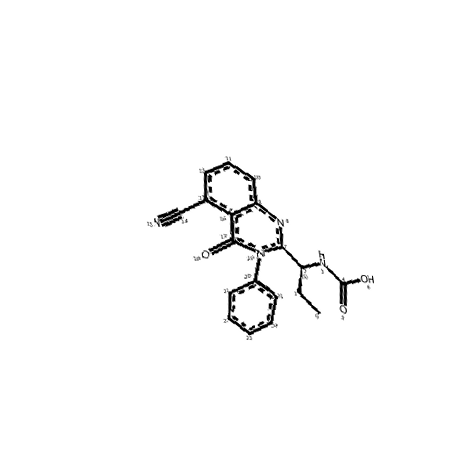 CC[C@H](NC(=O)O)c1nc2cccc(C#N)c2c(=O)n1-c1ccccc1